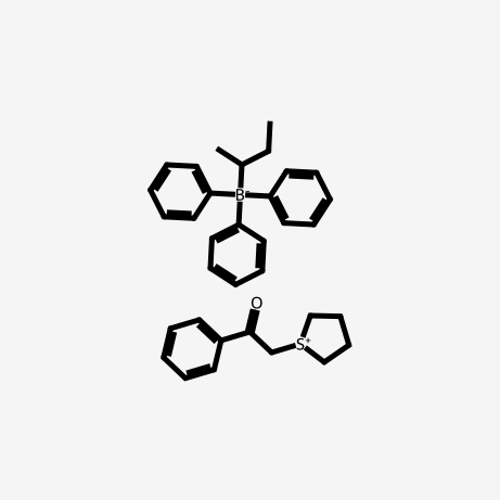 CCC(C)[B-](c1ccccc1)(c1ccccc1)c1ccccc1.O=C(C[S+]1CCCC1)c1ccccc1